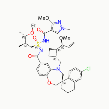 C=C[C@H](OC)[C@@H]1CC[C@H]1CN1C[C@@]2(CCCc3cc(Cl)ccc32)COc2ccc(C(=O)N=[S@@](=O)(C[C@@H](C)[C@H](C)OCC)NC(=O)c3cn(C)nc3OC)cc21